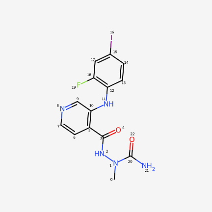 CN(NC(=O)c1ccncc1Nc1ccc(I)cc1F)C(N)=O